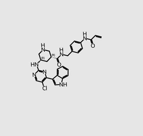 C=CC(=O)Nc1ccc(CNC(=O)[C@H]2CNC[C@H](Nc3ncc(Cl)c(-c4c[nH]c5ccccc45)n3)C2)cc1